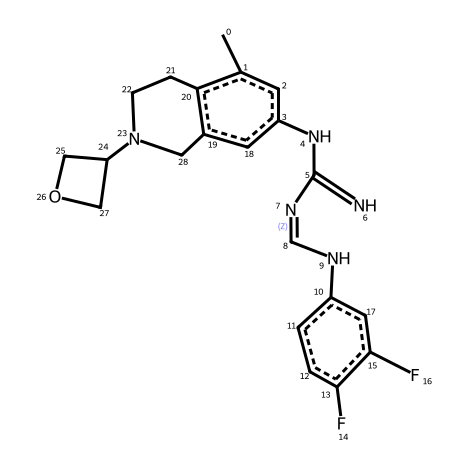 Cc1cc(NC(=N)/N=C\Nc2ccc(F)c(F)c2)cc2c1CCN(C1COC1)C2